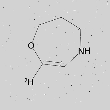 [2H]C1=CNCCCO1